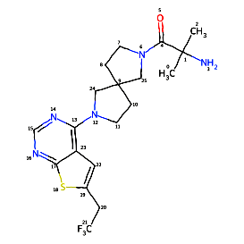 CC(C)(N)C(=O)N1CCC2(CCN(c3ncnc4sc(CC(F)(F)F)cc34)C2)C1